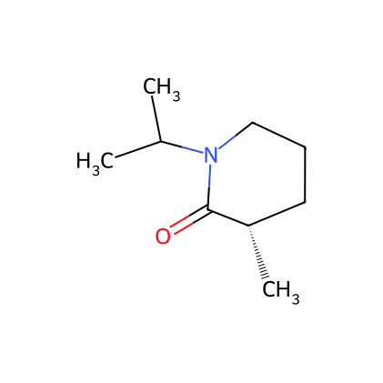 CC(C)N1CCC[C@H](C)C1=O